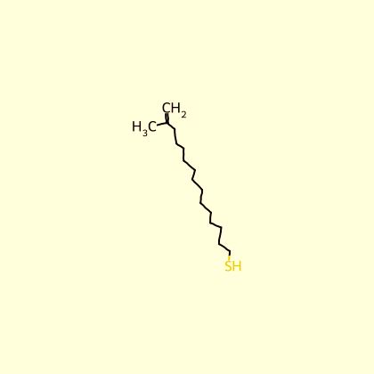 C=C(C)CCCCCCCCCCCCCS